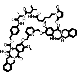 COc1cc2c(cc1OCc1cccc(COc3cc4c(cc3OC)C(=O)N3Cc5ccccc5C[C@H]3C(O)N4C(=O)OCc3ccc(NC(=O)[C@H](C)NC(=O)[C@@H](NC(=O)CCCCCN4C(=O)C=CC4=O)C(C)C)cc3)n1)NC[C@@H]1Cc3ccccc3CN1C2=O